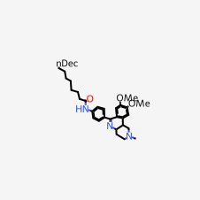 CCCCCCCCCCCCCCCCCC(=O)Nc1ccc(C2=NC3CCN(C)CC3c3cc(OC)c(OC)cc32)cc1